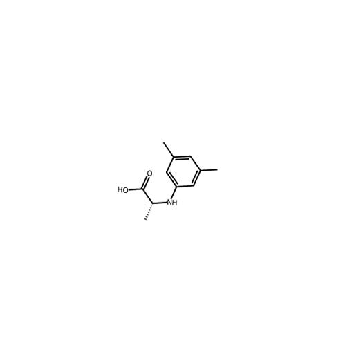 Cc1cc(C)cc(N[C@H](C)C(=O)O)c1